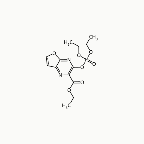 CCOC(=O)c1nc2ccoc2nc1OP(=O)(OCC)OCC